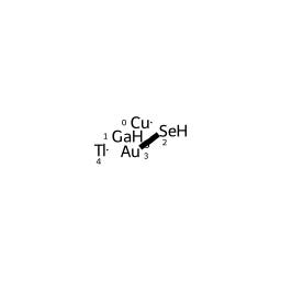 [Cu].[GaH3].[SeH][Au].[Tl]